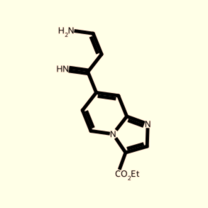 CCOC(=O)c1cnc2cc(C(=N)/C=C\N)ccn12